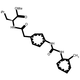 COC(=O)[C@H](CC(C)C)NC(=O)Cc1ccc(NC(=O)Nc2ccccc2C)cc1